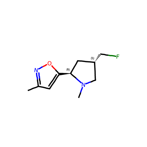 Cc1cc([C@H]2C[C@H](CF)CN2C)on1